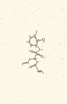 C=CCN(CC(N)=O)S(=O)(=O)Cc1cccc(C)c1Cl